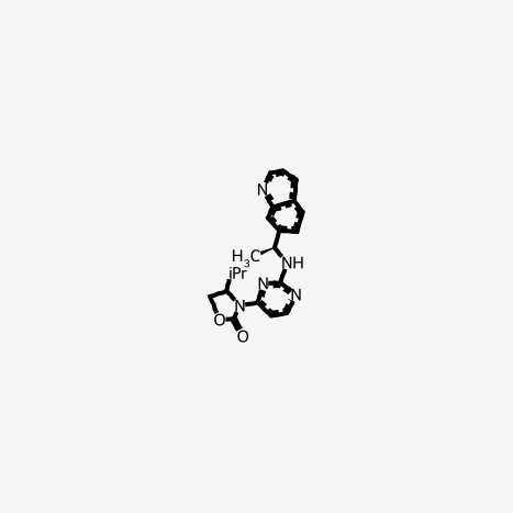 CC(C)C1COC(=O)N1c1ccnc(N[C@@H](C)c2ccc3cccnc3c2)n1